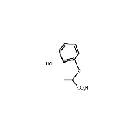 CC(Oc1ccccc1)C(=O)O.Cl